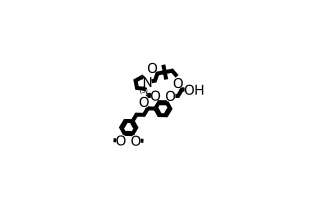 CCC(C)(C)C(=O)CN1CCC[C@H]1C(=O)OC(CCc1ccc(OC)c(OC)c1)c1cccc(OCC(=O)O)c1